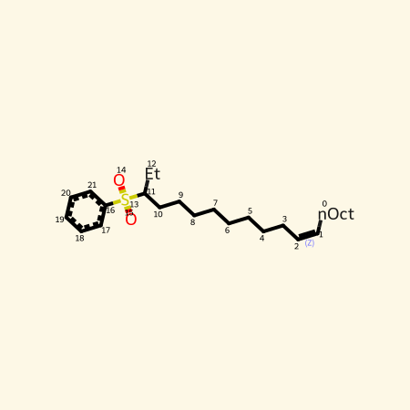 CCCCCCCC/C=C\CCCCCCCCC(CC)S(=O)(=O)c1ccccc1